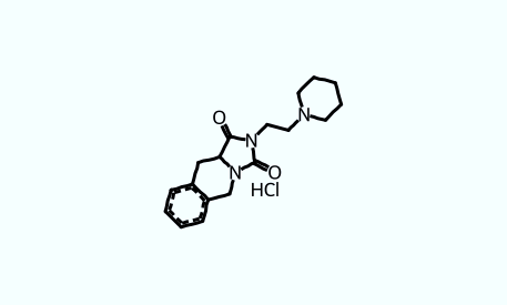 Cl.O=C1C2Cc3ccccc3CN2C(=O)N1CCN1CCCCC1